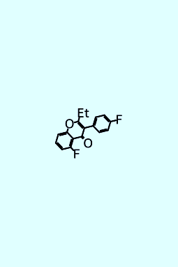 CCc1oc2cccc(F)c2c(=O)c1-c1ccc(F)cc1